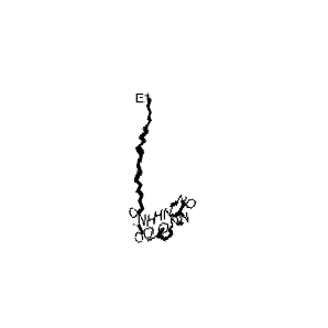 CCC=CCC=CCC=CCC=CCC=CCC=CCCC(=O)N[C@@H](C)C(=O)OC[C@@H]1CC[C@H](n2cnc3c(=O)nc[nH]c32)O1